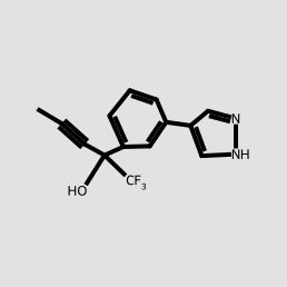 CC#CC(O)(c1cccc(-c2cn[nH]c2)c1)C(F)(F)F